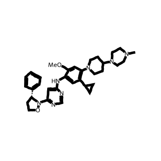 COc1cc(N2CCC(N3CCN(C)CC3)CC2)c(C2CC2)cc1Nc1cc(N2OCC[C@@H]2c2ccccc2)ncn1